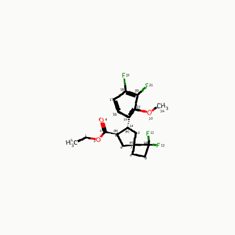 CCOC(=O)[C@@H]1C[C@@]2(CCC2(F)F)C[C@H]1c1ccc(F)c(F)c1OC